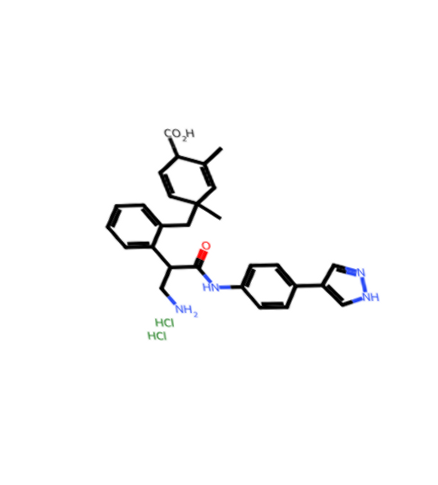 CC1=CC(C)(Cc2ccccc2C(CN)C(=O)Nc2ccc(-c3cn[nH]c3)cc2)C=CC1C(=O)O.Cl.Cl